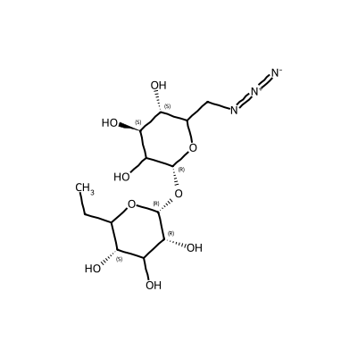 CCC1O[C@H](O[C@H]2OC(CN=[N+]=[N-])[C@@H](O)[C@H](O)C2O)[C@H](O)C(O)[C@@H]1O